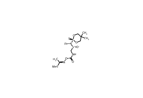 CCN([S+]([O-])CNC(=O)O/N=C(\C)SC)P1(=S)OCC(C)(C)CO1